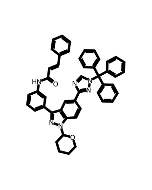 O=C(C=Cc1ccccc1)Nc1cccc(-c2nn(C3CCCCO3)c3ccc(-c4ncn(C(c5ccccc5)(c5ccccc5)c5ccccc5)n4)cc23)c1